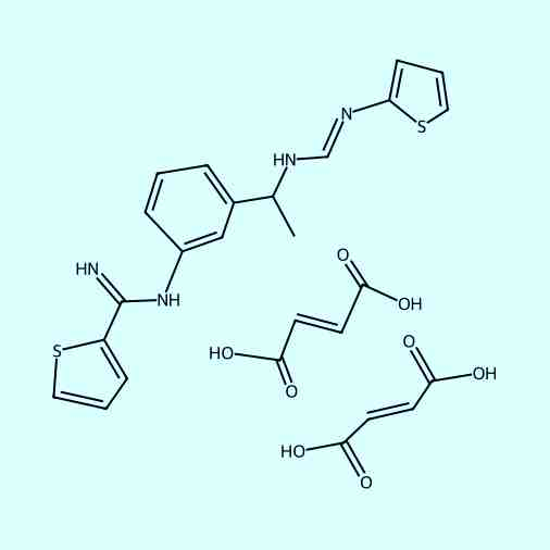 CC(N/C=N/c1cccs1)c1cccc(NC(=N)c2cccs2)c1.O=C(O)/C=C/C(=O)O.O=C(O)/C=C/C(=O)O